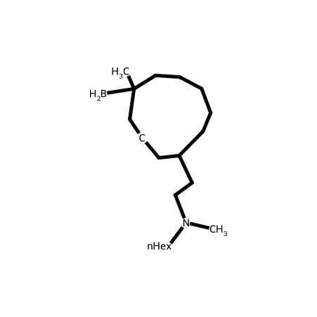 BC1(C)CCCCCC(CCN(C)CCCCCC)CCC1